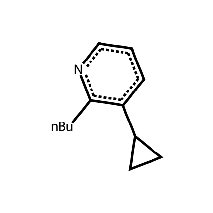 CCCCc1ncccc1C1CC1